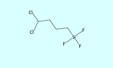 F[Si](F)(F)CCCC(Cl)Cl